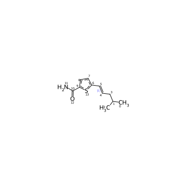 CC(C)C/C=C/c1ccc(C(N)=O)s1